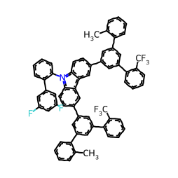 Cc1ccccc1-c1cc(-c2ccc3c(c2)c2cc(-c4cc(-c5ccccc5C)cc(-c5ccccc5C(F)(F)F)c4)ccc2n3-c2ccccc2-c2cc(F)cc(F)c2)cc(-c2ccccc2C(F)(F)F)c1